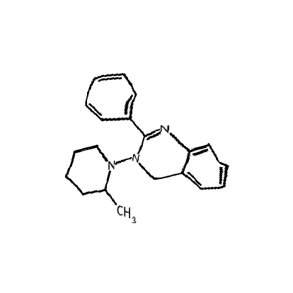 CC1CCCCN1N1Cc2ccccc2N=C1c1ccccc1